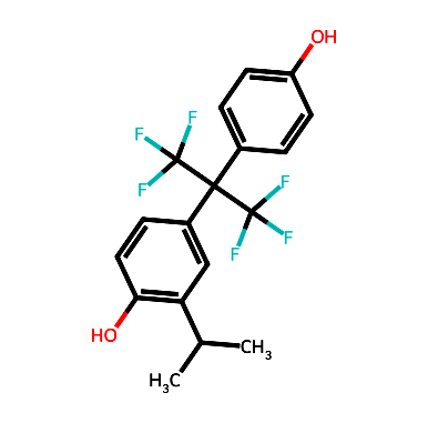 CC(C)c1cc(C(c2ccc(O)cc2)(C(F)(F)F)C(F)(F)F)ccc1O